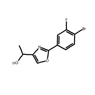 CC(O)c1coc(-c2ccc(Br)c(F)c2)n1